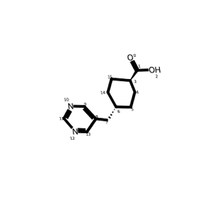 O=C(O)[C@H]1CC[C@H](Cc2cncnc2)CC1